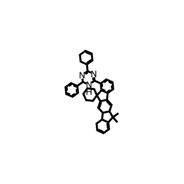 CC1(C)C2=CC=CCC2C2C=C3C(=CC21)c1cccc(C2=NC(C4=CC=CCC4)=NC(c4ccccc4)N2)c1C31CCCCC1